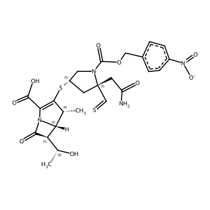 C[C@@H](O)[C@H]1C(=O)N2C(C(=O)O)=C(S[C@@H]3CN(C(=O)OCc4ccc([N+](=O)[O-])cc4)[C@@](C=S)(CC(N)=O)C3)[C@H](C)[C@H]12